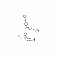 Cc1cc(SCC=C(c2ccc(C#Cc3cccs3)cc2)c2ccc(C#Cc3cccs3)cc2)ccc1OCC(=O)O